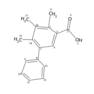 Cc1c(C(=O)O)cc(-c2ccccc2)c(C)c1C